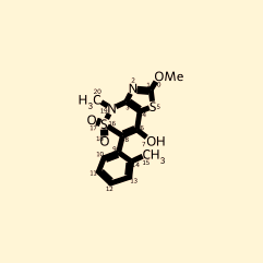 COc1nc2c(s1)C(O)=C(c1ccccc1C)S(=O)(=O)N2C